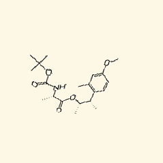 COc1ccc([C@H](C)[C@H](C)OC(=O)[C@H](C)NC(=O)OC(C)(C)C)c(C)c1